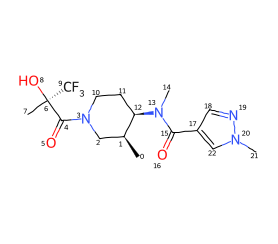 C[C@H]1CN(C(=O)[C@@](C)(O)C(F)(F)F)CC[C@H]1N(C)C(=O)c1cnn(C)c1